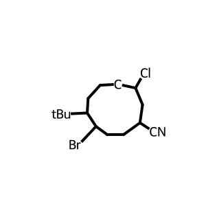 CC(C)(C)C1CCCC(Cl)CC(C#N)CCC1Br